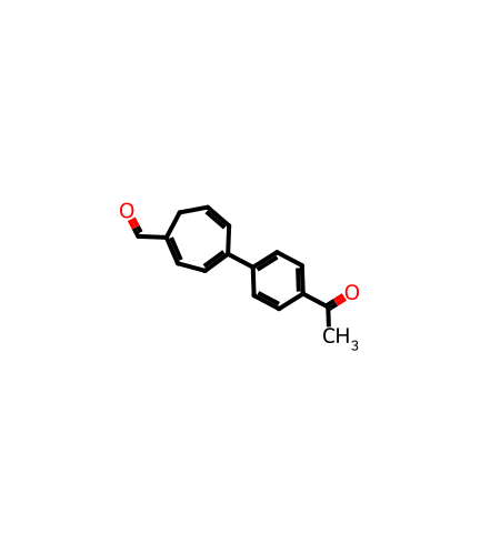 CC(=O)c1ccc(C2=CC=C(C=O)CC=C2)cc1